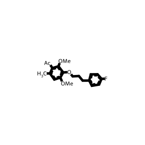 COc1cc(C)c(C(C)=O)c(OC)c1OCCCc1ccc(F)cc1